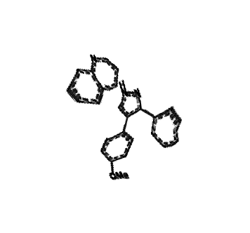 COc1ccc(-c2c[nH]nc2-c2ccccc2)cc1.c1ccc2ncccc2c1